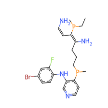 CCP(C)C(/C=C\N)=C(\N)CCCP(C)c1ccncc1Nc1ccc(Br)cc1F